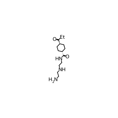 CCC(=O)[C@H]1CC[C@H](C(=O)NCCNCCN)CC1